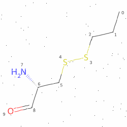 CCCSSC[C@@H](N)C=O